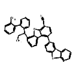 CCC(c1ccccc1-c1ccccc1C)c1cccc2c1oc1c(C#N)ccc(-c3ccc4sc5ccccc5c4c3)c12